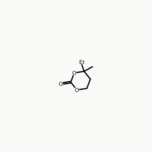 CCC1(C)CCOC(=O)O1